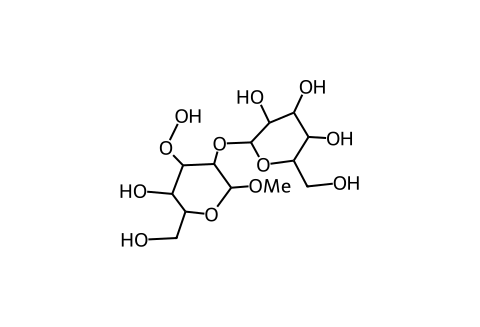 COC1OC(CO)C(O)C(OO)C1OC1OC(CO)C(O)C(O)C1O